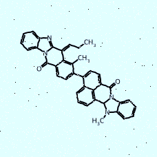 CC/C=c1\c2c(C)c(-c3ccc4c5c(cccc35)C3N(C)c5ccccc5N3C4=O)ccc2c(=O)n2c1nc1ccccc12